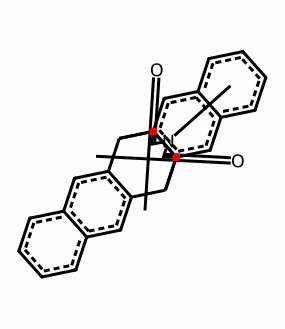 CN1C(=O)C2C3c4cc5ccccc5cc4C(c4cc5ccccc5cc43)C2C1=O